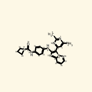 Cc1nc(N)cc(-c2c(Nc3ccc(NC(=O)N4CCC4)cc3)nc3cccnn23)n1